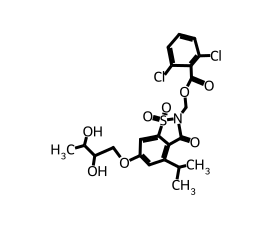 CC(C)c1cc(OCC(O)C(C)O)cc2c1C(=O)N(COC(=O)c1c(Cl)cccc1Cl)S2(=O)=O